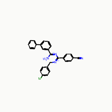 N#Cc1ccc(C(/N=C(\N)c2cccc(-c3ccccc3)c2)=N/Cc2ccc(Br)cc2)cc1